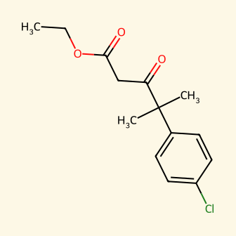 CCOC(=O)CC(=O)C(C)(C)c1ccc(Cl)cc1